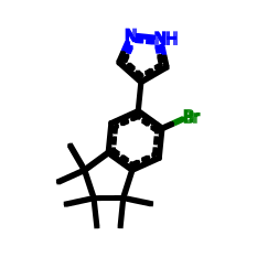 CC1(C)c2cc(Br)c(-c3cn[nH]c3)cc2C(C)(C)C1(C)C